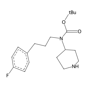 CC(C)(C)OC(=O)N(CCCc1ccc(F)cc1)C1CCNCC1